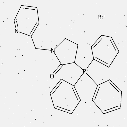 O=C1C([P+](c2ccccc2)(c2ccccc2)c2ccccc2)CCN1Cc1ccccn1.[Br-]